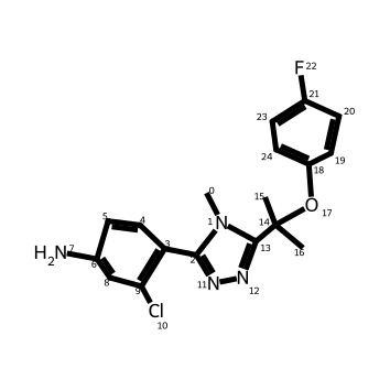 Cn1c(-c2ccc(N)cc2Cl)nnc1C(C)(C)Oc1ccc(F)cc1